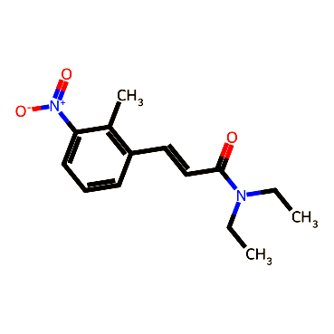 CCN(CC)C(=O)C=Cc1cccc([N+](=O)[O-])c1C